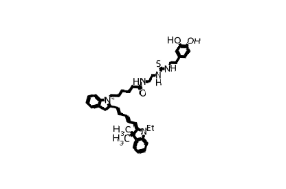 CCN1/C(=C/C=C/C=C/C2=[N+](CCCCCC(=O)NCCNC(=S)NCCc3ccc(O)c(O)c3)c3ccccc3C2)C(C)(C)c2ccccc21